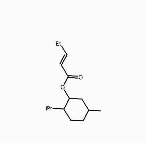 CCC=CC(=O)OC1CC(C)CCC1C(C)C